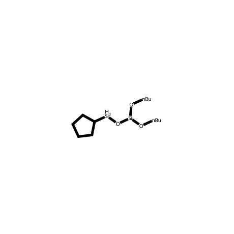 CCCCO[Si](OCCCC)O[SiH2]C1CCCC1